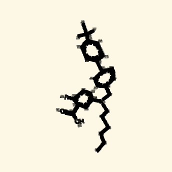 CCCCCCN(Cc1ccc(-c2ccc(C(C)(C)C)cc2)cc1)c1ccc(F)c(C(=O)O)c1